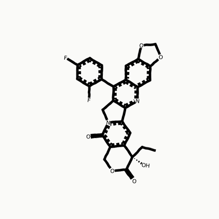 CC[C@@]1(O)C(=O)OCc2c1cc1n(c2=O)Cc2c-1nc1cc3c(cc1c2-c1ccc(F)cc1F)OCO3